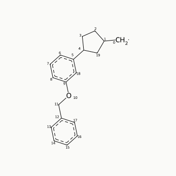 [CH2]C1CCC(c2cccc(OCc3ccccc3)c2)C1